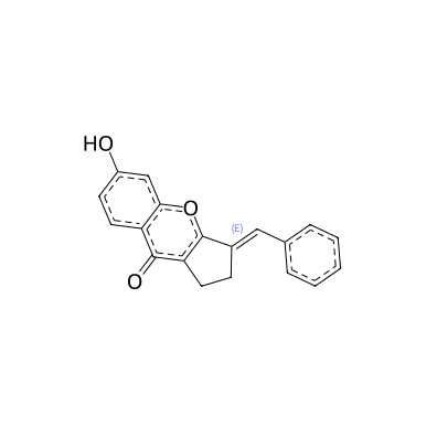 O=c1c2c(oc3cc(O)ccc13)/C(=C/c1ccccc1)CC2